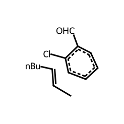 CC=CCCCC.O=Cc1ccccc1Cl